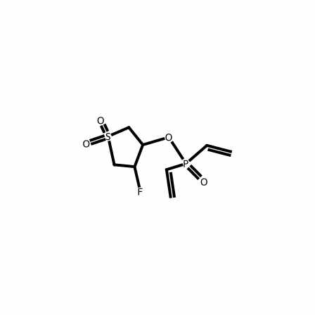 C=CP(=O)(C=C)OC1CS(=O)(=O)CC1F